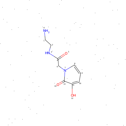 NCCNC(=O)Cn1cccc(O)c1=O